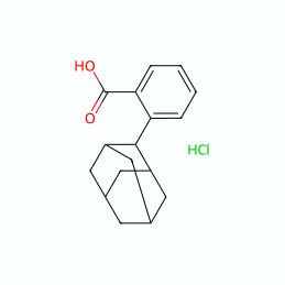 Cl.O=C(O)c1ccccc1C1C2CC3CC(C2)CC1C3